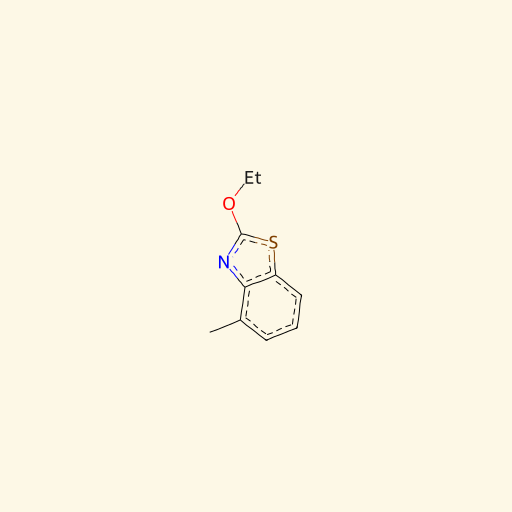 CCOc1nc2c(C)cccc2s1